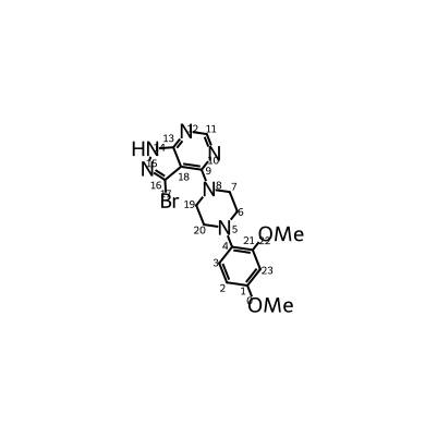 COc1ccc(N2CCN(c3ncnc4[nH]nc(Br)c34)CC2)c(OC)c1